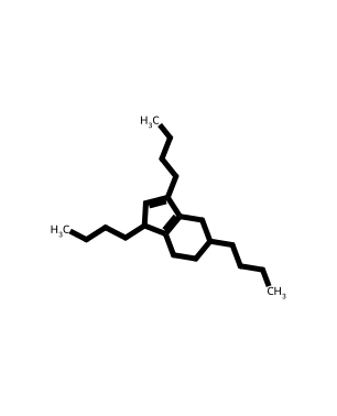 CCCC[C]1C=C(CCCC)C2=C1CCC(CCCC)C2